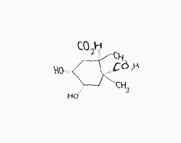 C[C@@]1(C(=O)O)C[C@H](O)[C@H](O)C[C@]1(C)C(=O)O